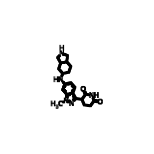 Cn1nc(C2CCC(=O)NC2=O)c2ccc(NC3CCC4CNCC4C3)cc21